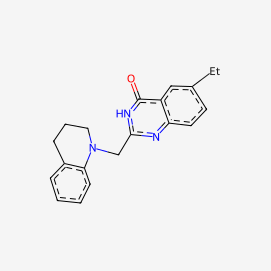 CCc1ccc2nc(CN3CCCc4ccccc43)[nH]c(=O)c2c1